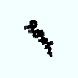 COCCNC(=O)c1cc(-n2ncc3cc(Nc4ccccc4Cl)cnc32)c(C)s1